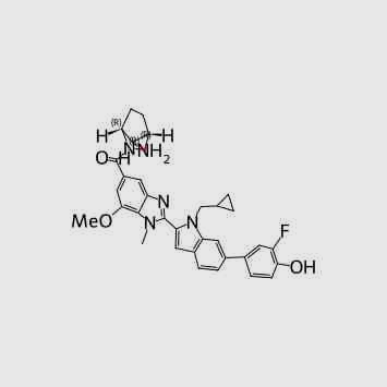 COc1cc(C(=O)N2C[C@H]3CC[C@@H]2[C@@H]3N)cc2nc(-c3cc4ccc(-c5ccc(O)c(F)c5)cc4n3CC3CC3)n(C)c12